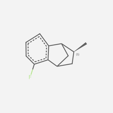 C[C@H]1CC2CC1c1cccc(F)c12